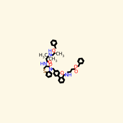 C[C@H](CNC(C)(C)CC(=O)N[C@@H]1CSc2ccccc2N(Cc2ccc(-c3ccccc3C(=O)NCCCC(=O)OCc3ccccc3)cc2)C1=O)OCc1ccccc1